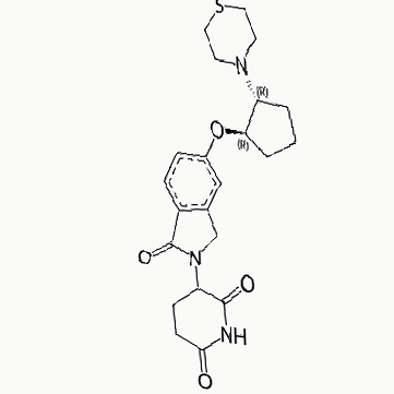 O=C1CCC(N2Cc3cc(O[C@@H]4CCC[C@H]4N4CCSCC4)ccc3C2=O)C(=O)N1